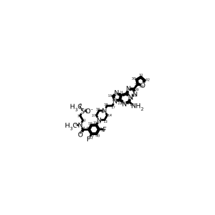 CN(CC[S@@+](C)[O-])C(=O)c1cc(N2CCN(CCn3cnc4c3nc(N)n3nc(-c5ccco5)nc43)CC2)c(F)cc1F